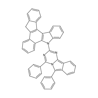 c1ccc(-c2nc(-n3c4ccccc4c4c5c(c6ccccc6c43)Cc3ccccc3-5)nc3c4ccccc4c(-c4ccccc4)n23)cc1